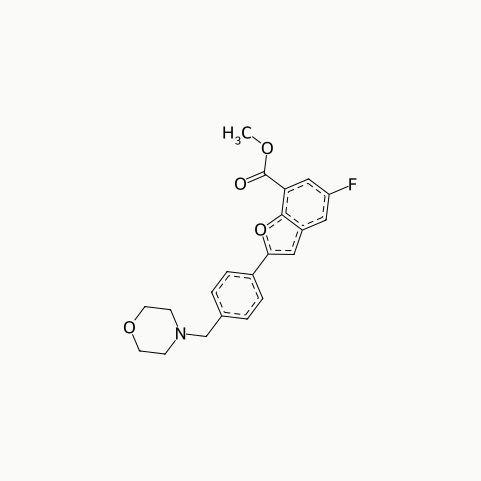 COC(=O)c1cc(F)cc2cc(-c3ccc(CN4CCOCC4)cc3)oc12